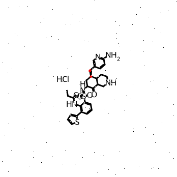 CCC(=O)Nc1c(-c2cccs2)cccc1S(=O)(=O)NC(CCCc1ccc(N)nc1)C(=O)C1CNCCC1CC.Cl